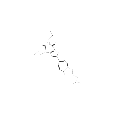 CCCn1c(=O)c2[nH]c(C3=CC=C(NCCN(C)C)C(C)C=C3)cc2n(CCC)c1=O